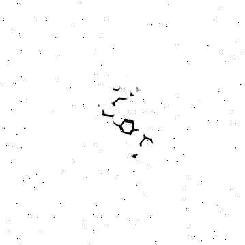 COC(=O)[C@H](Cc1ccc(OC(CO)COC(C)=O)cc1)NC(=O)[C@@H](N=[N+]=[N-])C(C)C